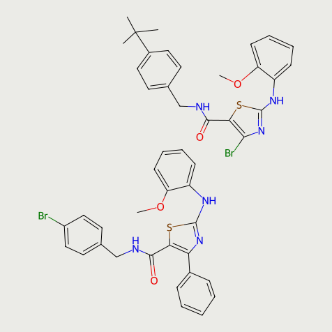 COc1ccccc1Nc1nc(-c2ccccc2)c(C(=O)NCc2ccc(Br)cc2)s1.COc1ccccc1Nc1nc(Br)c(C(=O)NCc2ccc(C(C)(C)C)cc2)s1